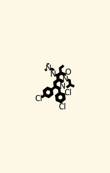 CCc1c(N=CN(C)C)c2cc(-c3ccc(Cl)cc3)c(-c3ccc(Cl)cc3Cl)nc2n(CC(C)C)c1=O